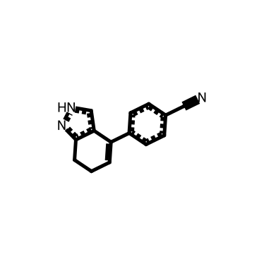 N#Cc1ccc(C2=CCCc3n[nH]cc32)cc1